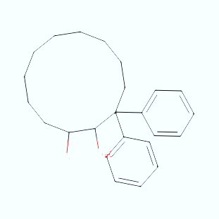 OC1CCCCCCCCCC(c2ccccc2)(c2ccccc2)C1O